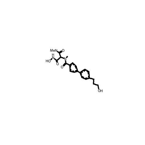 CNC(=O)C(C(=O)NO)N(C)C(=O)c1ccc(-c2ccc(CCCO)cc2)cc1